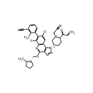 C=CC(=O)N1CC[C@H](n2nnc3c(OC[C@@H]4CCCN4C)nc4c(F)c(-c5cccc(C#N)c5C)c(Cl)cc4c32)C[C@H]1CC#N